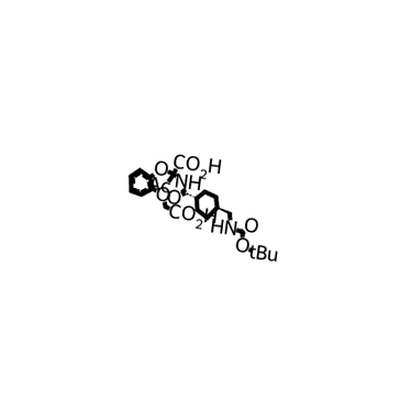 CC(=O)C(NC(=O)[C@H]1CC[C@H](CNC(=O)OC(C)(C)C)CC1)(Oc1ccccc1OCC(=O)O)C(=O)O